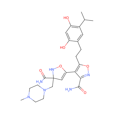 CC(C)c1cc(CCc2onc(C(N)=O)c2C2=CC(CN3CCN(C)CC3)(C(N)=O)NO2)c(O)cc1O